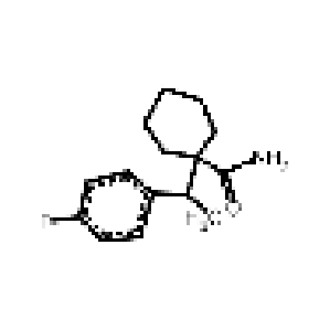 CC(c1ccc(F)cc1)C1(C(N)=O)CCCCC1